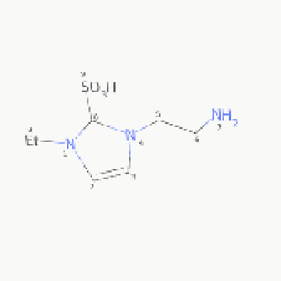 CCN1C=CN(CCN)C1S(=O)(=O)O